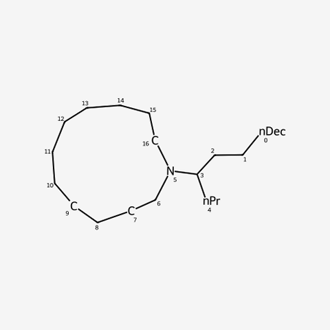 CCCCCCCCCCCCC(CCC)N1CCCCCCCCCCC1